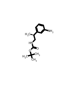 C[C@H](CNC(=O)OC(C)(C)C)c1cccc(N)c1